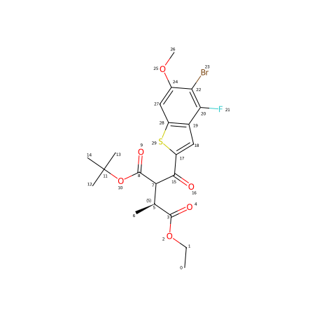 CCOC(=O)[C@@H](C)C(C(=O)OC(C)(C)C)C(=O)c1cc2c(F)c(Br)c(OC)cc2s1